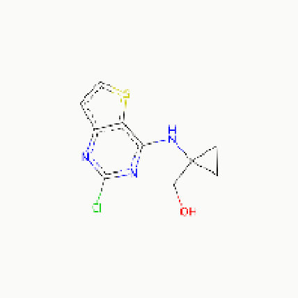 OCC1(Nc2nc(Cl)nc3ccsc23)CC1